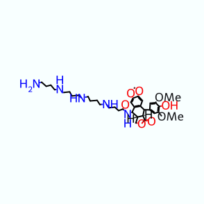 COc1cc(C2c3cc4c(cc3[C@@H](NC(=O)CCCNCCCCNCCCCNCCCCN)[C@H]3COC(=O)[C@H]23)OCO4)cc(OC)c1O